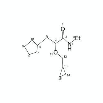 CCNC(=O)C(CC1CCCC1)OCC1CC1